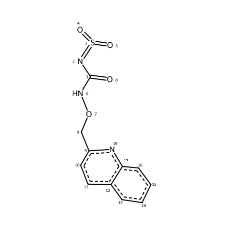 O=C(N=S(=O)=O)NOCc1ccc2ccccc2n1